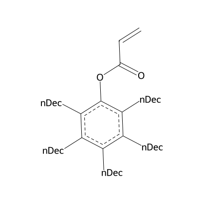 C=CC(=O)Oc1c(CCCCCCCCCC)c(CCCCCCCCCC)c(CCCCCCCCCC)c(CCCCCCCCCC)c1CCCCCCCCCC